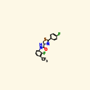 O=C(Nc1cccc(C(F)(F)F)c1F)C1CSC(c2ccc(F)cc2)=N1